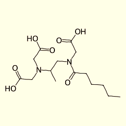 CCCCCC(=O)N(CC(=O)O)CC(C)N(CC(=O)O)CC(=O)O